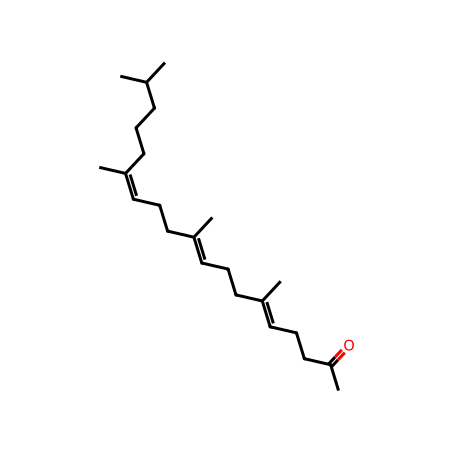 CC(=O)CC/C=C(\C)CC/C=C(\C)CC/C=C(/C)CCCC(C)C